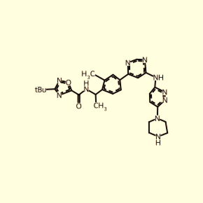 Cc1cc(-c2cc(Nc3ccc(N4CCNCC4)nn3)ncn2)ccc1C(C)NC(=O)c1nc(C(C)(C)C)no1